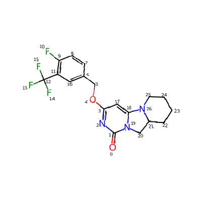 O=c1nc(OCc2ccc(F)c(C(F)(F)F)c2)cc2n1CC1CCCCN21